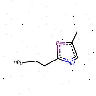 CCCCCCc1[nH]cc(C)p1